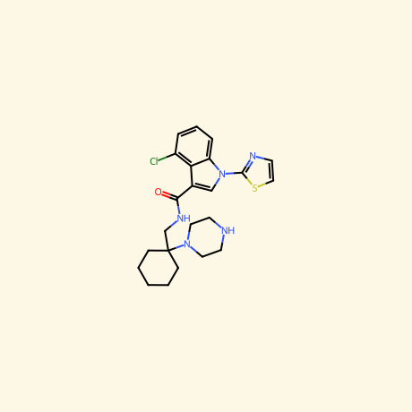 O=C(NCC1(N2CCNCC2)CCCCC1)c1cn(-c2nccs2)c2cccc(Cl)c12